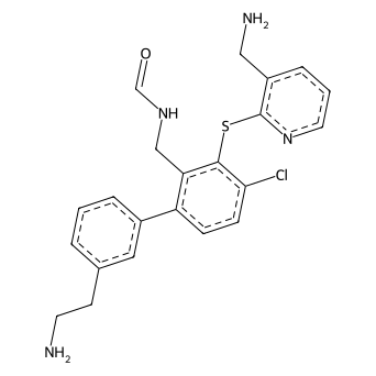 NCCc1cccc(-c2ccc(Cl)c(Sc3ncccc3CN)c2CNC=O)c1